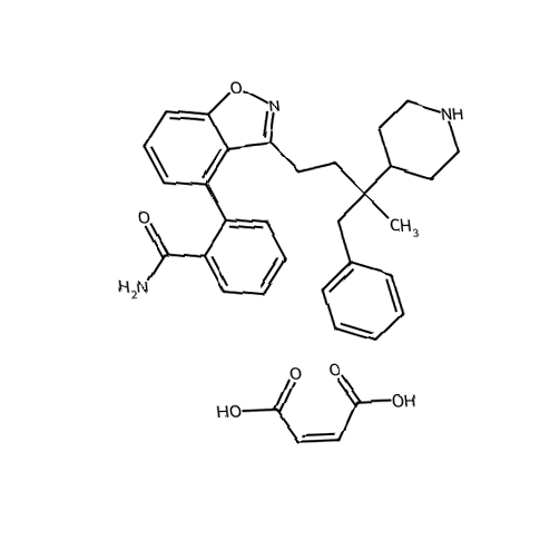 CC(CCc1noc2cccc(-c3ccccc3C(N)=O)c12)(Cc1ccccc1)C1CCNCC1.O=C(O)/C=C\C(=O)O